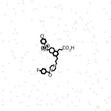 O=C(O)CCc1cc(CCCN2CCN(C(=O)c3ccc(F)cc3)CC2)cc2c1CCC(NS(=O)(=O)c1ccc(Cl)cc1)C2